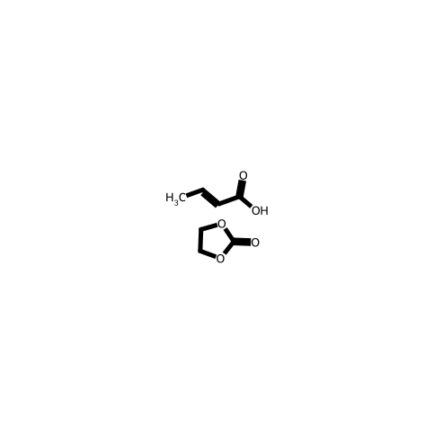 CC=CC(=O)O.O=C1OCCO1